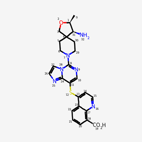 C[C@@H]1OCC2(CCN(c3ncc(Sc4ccnc5c(C(=O)O)cccc45)c4nccn34)CC2)[C@@H]1N